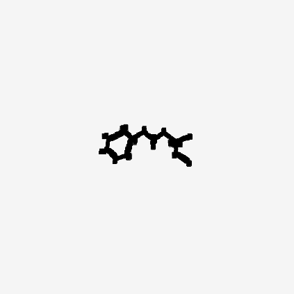 C=C[C@H](C)CSCc1ccccc1